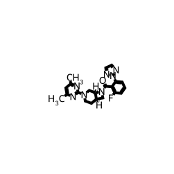 Cc1cc(C)nc(N2CC[C@@H]3CN(C(=O)c4c(F)cccc4-n4nccn4)[C@@H]3C2)n1